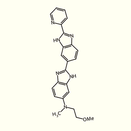 COCCN(C)c1ccc2nc(-c3ccc4nc(-c5ccccn5)[nH]c4c3)[nH]c2c1